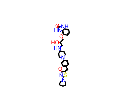 O=C1N=C(N2CCCCC2)SC1=Cc1ccc(N2CCC(NC[C@@H](O)COc3cccc4[nH]c(=O)[nH]c34)CC2)cc1